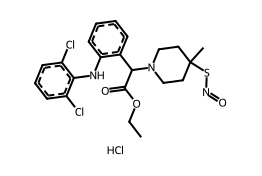 CCOC(=O)C(c1ccccc1Nc1c(Cl)cccc1Cl)N1CCC(C)(SN=O)CC1.Cl